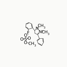 CN1C(c2ccccc2F)CC(c2ccccc2)=[N+]1C.COS(=O)(=O)[O-]